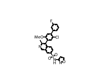 COc1cc(-c2cccc(F)c2)c(Cl)cc1-c1c(C)ncc2cc(S(=O)(=O)Nc3ccon3)ccc12